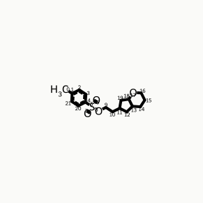 Cc1ccc(S(=O)(=O)OCCC2CC3CCCOC3C2)cc1